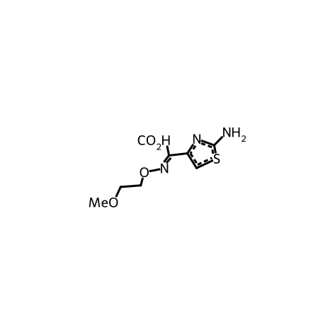 COCCON=C(C(=O)O)c1csc(N)n1